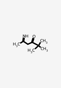 CC(=N)CC(=O)C(C)(C)C